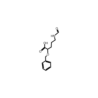 O=CNCCCC(OCc1ccccc1)C(=O)O